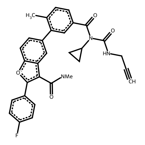 C#CCNC(=O)N(C(=O)c1ccc(C)c(-c2ccc3oc(-c4ccc(F)cc4)c(C(=O)NC)c3c2)c1)C1CC1